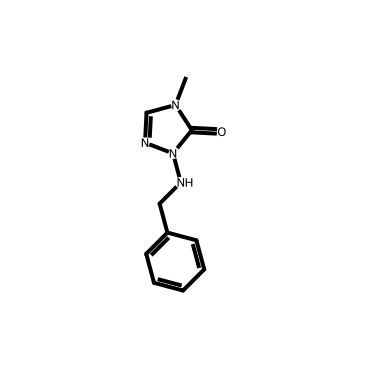 Cn1cnn(NCc2ccccc2)c1=O